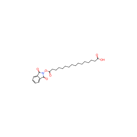 O=C(O)CCCCCCCCCCCCCCC(=O)ON1C(=O)c2ccccc2C1=O